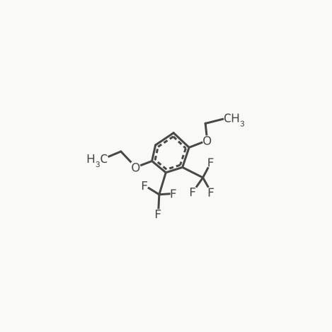 CCOc1ccc(OCC)c(C(F)(F)F)c1C(F)(F)F